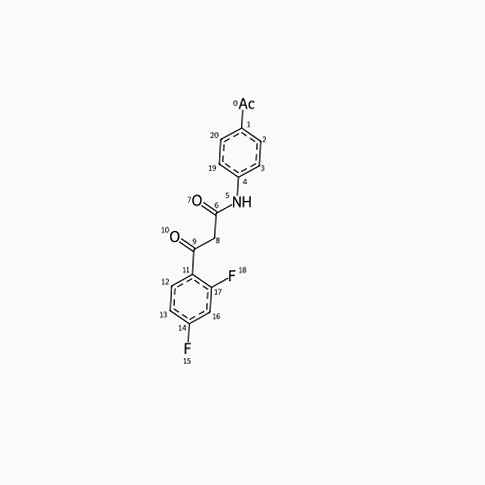 CC(=O)c1ccc(NC(=O)CC(=O)c2ccc(F)cc2F)cc1